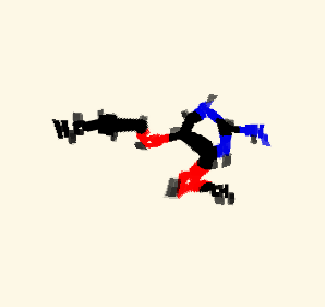 CC#CCOc1cnc(N)nc1OC